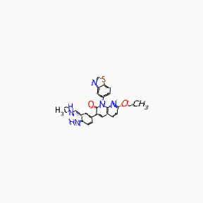 CCOc1ccc2cc(C3=C/C(=C/NC)C(=N)C=C3)c(=O)n(-c3ccc4scnc4c3)c2n1